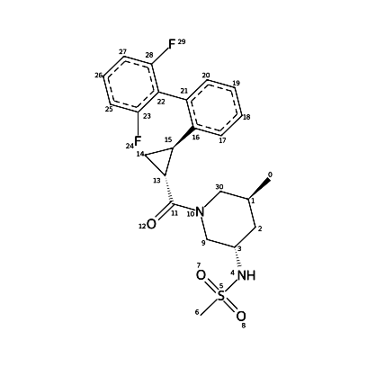 C[C@H]1C[C@H](NS(C)(=O)=O)CN(C(=O)[C@@H]2C[C@H]2c2ccccc2-c2c(F)cccc2F)C1